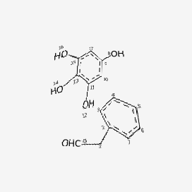 O=CCc1ccccc1.Oc1cc(O)c(O)c(O)c1